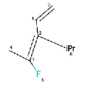 C=C/C(=C(\C)F)C(C)C